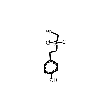 CC(C)C[Si](Cl)(Cl)CCc1ccc(O)cc1